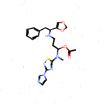 CC(=O)OC(CCNC(Cc1ccccc1)C1=COCO1)N(C)c1nc(-n2ccnc2)ns1